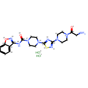 Cl.Cl.NCC(=O)N1CCN(c2nsc(N3CCN(C(=O)Nc4noc5ccccc45)CC3)n2)CC1